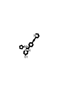 CCc1ccn2c(NC3CCCC3)c(-c3ccc(C#Cc4ccccn4)cc3)nc2c1